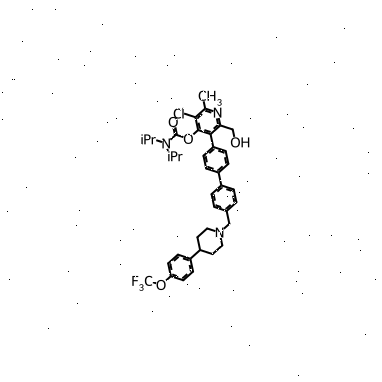 Cc1nc(CO)c(-c2ccc(-c3ccc(CN4CCC(c5ccc(OC(F)(F)F)cc5)CC4)cc3)cc2)c(OC(=O)N(C(C)C)C(C)C)c1Cl